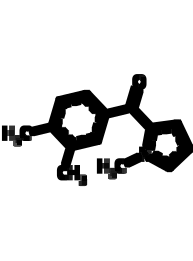 Cc1ccc(C(=O)c2cccn2C)cc1C